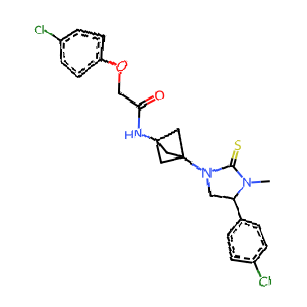 CN1C(=S)N(C23CC(NC(=O)COc4ccc(Cl)cc4)(C2)C3)CC1c1ccc(Cl)cc1